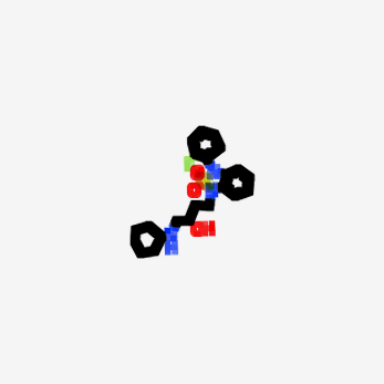 O=S1(=O)N(CC[C@H](O)CNC2CCCCC2)c2ccccc2N1c1ccccc1F